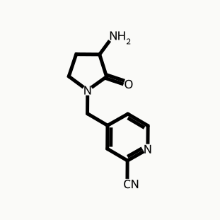 N#Cc1cc(CN2CCC(N)C2=O)ccn1